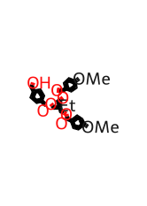 CCC(COC(=O)c1ccc(CO)cc1)(COC(=O)c1ccc(OC)cc1)COC(=O)c1ccc(OC)cc1